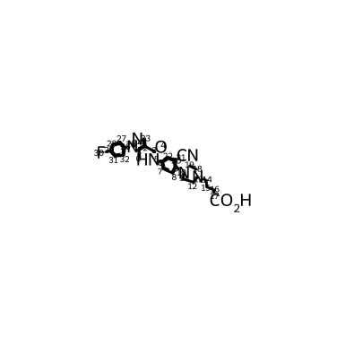 Cc1c(C(=O)Nc2ccc(N3CCN(CCCC(=O)O)CC3)c(C#N)c2)cnn1-c1ccc(F)cc1